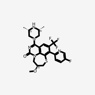 CO[C@@H]1CSc2c(-c3ccc(F)cn3)c(C(F)(F)F)cc3c(N4C[C@@H](C)N[C@@H](C)C4)nc(=O)n(c23)C1